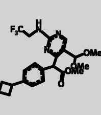 COC(=O)C(c1ccc(C2CCC2)cc1)c1nc(NCC(F)(F)F)ncc1C(OC)OC